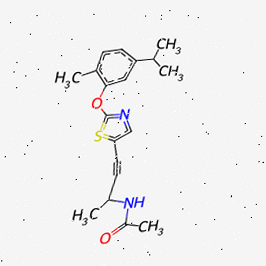 CC(=O)NC(C)C#Cc1cnc(Oc2cc(C(C)C)ccc2C)s1